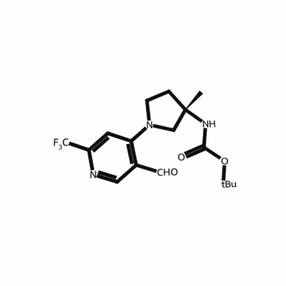 CC(C)(C)OC(=O)N[C@@]1(C)CCN(c2cc(C(F)(F)F)ncc2C=O)C1